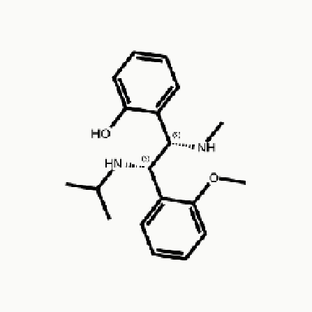 CN[C@@H](c1ccccc1O)[C@@H](NC(C)C)c1ccccc1OC